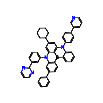 c1ccc(-c2ccc3c(c2)N(c2cccc(-c4ncccn4)c2)c2cc(C4CCCCC4)cc4c2B3c2ccccc2N4c2ccc(-c3cccnc3)cc2)cc1